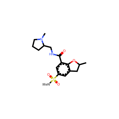 CNS(=O)(=O)c1cc2c(c(C(=O)NCC3CCCN3C)c1)OC(C)C2